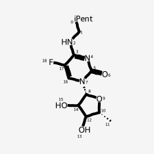 CCCC(C)CNc1nc(=O)n([C@@H]2O[C@H](C)C(O)C2O)cc1F